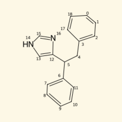 c1ccc(CC(c2ccccc2)c2c[nH]cn2)cc1